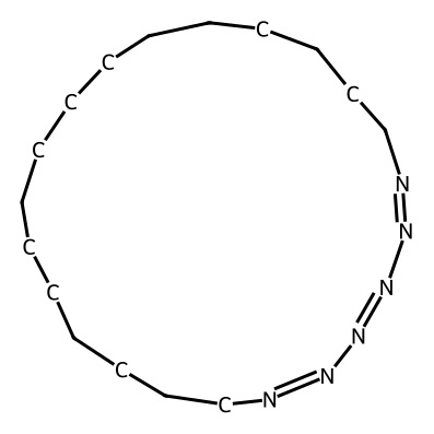 C1CCCCCCCCN=NN=NN=NCCCCCCC1